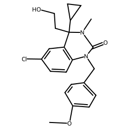 COc1ccc(CN2C(=O)N(C)C(CCO)(C3CC3)c3cc(Cl)ccc32)cc1